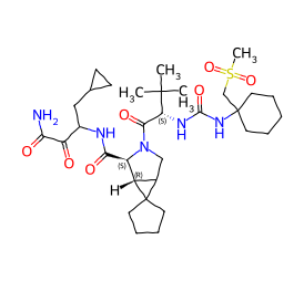 CC(C)(C)[C@H](NC(=O)NC1(CS(C)(=O)=O)CCCCC1)C(=O)N1CC2[C@@H]([C@H]1C(=O)NC(CC1CC1)C(=O)C(N)=O)C21CCCC1